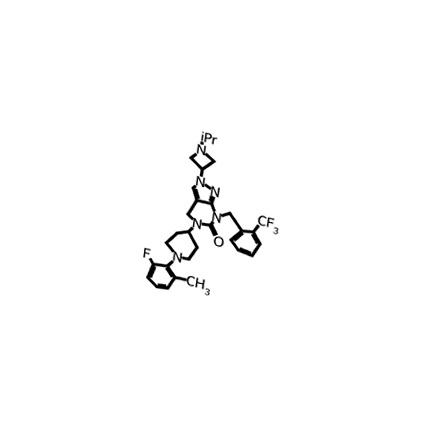 Cc1cccc(F)c1N1CCC(N2Cc3cn(C4CN(C(C)C)C4)nc3N(Cc3ccccc3C(F)(F)F)C2=O)CC1